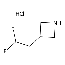 Cl.FC(F)CC1CNC1